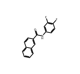 O=C(Nc1ccc(F)c(F)c1)c1ccc2ccccc2c1